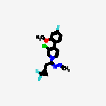 C=N/N=C(/CC1CC1(F)F)N1C=CC(c2ccc(F)cc2OC)=C(Cl)C1